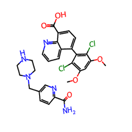 COc1cc(OC)c(Cl)c(-c2ccc(C(=O)O)c3ncccc23)c1Cl.NC(=O)c1ccc(CN2CCNCC2)cn1